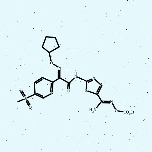 CCOC(=O)O/N=C(\N)c1cnc(NC(=O)/C(=N/OC2CCCC2)c2ccc(S(C)(=O)=O)cc2)s1